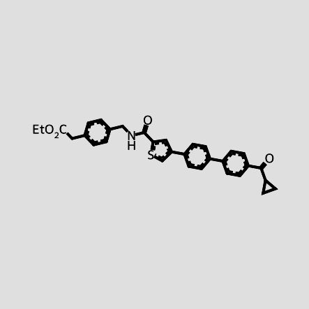 CCOC(=O)Cc1ccc(CNC(=O)c2cc(-c3ccc(-c4ccc(C(=O)C5CC5)cc4)cc3)cs2)cc1